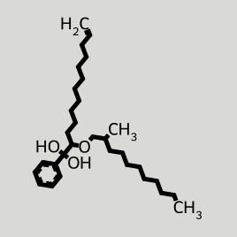 C=CCCCCCCCCCC(OCC(C)CCCCCCCCC)C(O)(O)c1ccccc1